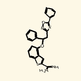 N=C(N)c1cc2c(OC(Cc3noc(-c4ccccc4)n3)c3ccccc3)cccc2s1